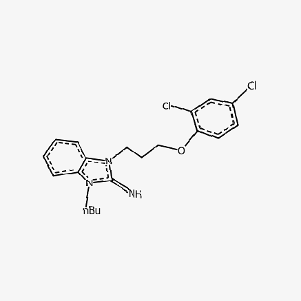 CCCCn1c(=N)n(CCCOc2ccc(Cl)cc2Cl)c2ccccc21